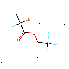 CC(F)(Br)C(=O)OCC(F)(F)F